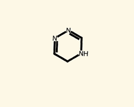 C1=NN=CNC1